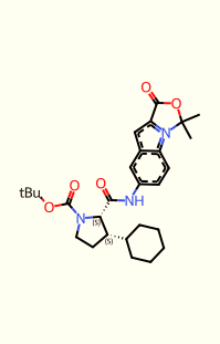 CC(C)(C)OC(=O)N1CC[C@@H](C2CCCCC2)[C@H]1C(=O)Nc1ccc2c(c1)cc1n2C(C)(C)OC1=O